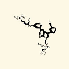 CCOP(=O)(O)OCn1cc(-c2ccnc(C#N)c2)c2cc(-c3cncc(NC(=O)/C=C/CN(C)C)c3)cnc21